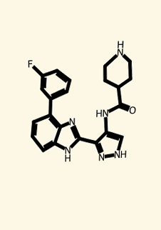 O=C(Nc1c[nH]nc1-c1nc2c(-c3cccc(F)c3)cccc2[nH]1)C1CCNCC1